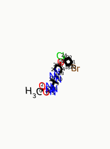 CC(=O)On1nnc(-c2cnc(N3CCC(Oc4cc(Br)ccc4Cl)CC3)nc2)n1